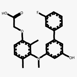 Cc1ccc(OCC(=O)O)c(C)c1N(C)c1cc(O)cc(-c2cccc(F)c2)c1